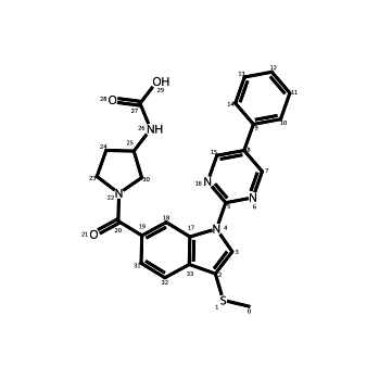 CSc1cn(-c2ncc(-c3ccccc3)cn2)c2cc(C(=O)N3CCC(NC(=O)O)C3)ccc12